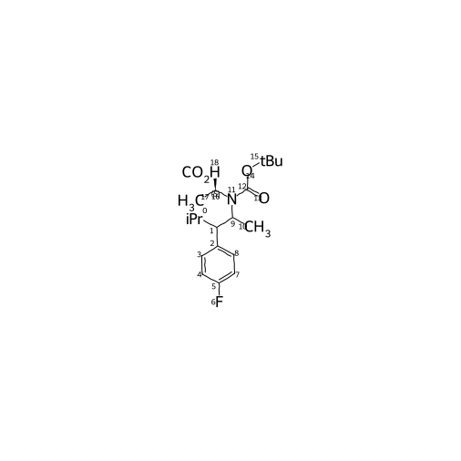 CC(C)C(c1ccc(F)cc1)C(C)N(C(=O)OC(C)(C)C)[C@@H](C)C(=O)O